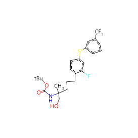 CC(CO)(CCCc1ccc(Sc2cccc(C(F)(F)F)c2)cc1F)NC(=O)OC(C)(C)C